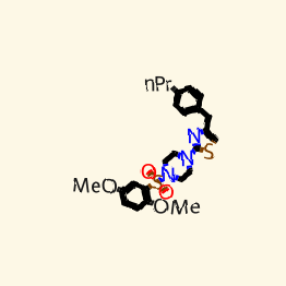 CCCc1ccc(Cc2csc(N3CCN(S(=O)(=O)c4cc(OC)ccc4OC)CC3)n2)cc1